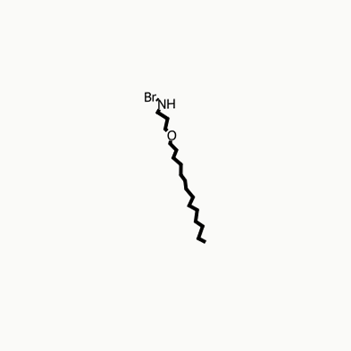 CCCCCCCCCCCCCCOCCCNBr